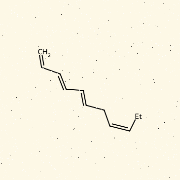 C=C/C=C/C=C/C/C=C\CC